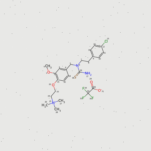 COc1cc(CN(CCc2ccc(Cl)cc2)C(N)=S)ccc1OCC[N+](C)(C)C.O=C([O-])C(F)(F)F